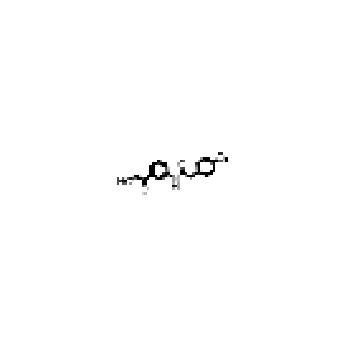 COc1ccc(CC(=O)Nc2cccc(C(=O)CO)c2)cc1